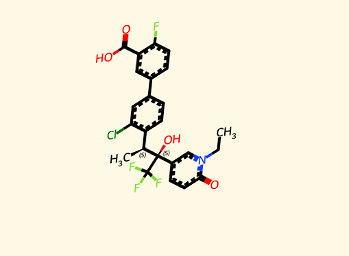 CCn1cc([C@@](O)([C@@H](C)c2ccc(-c3ccc(F)c(C(=O)O)c3)cc2Cl)C(F)(F)F)ccc1=O